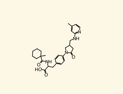 Cc1ccnc(NCC2CC(=O)N(c3ccc(CC(NC(=O)C4(C)CCCCC4)C(=O)O)cc3)C2)c1